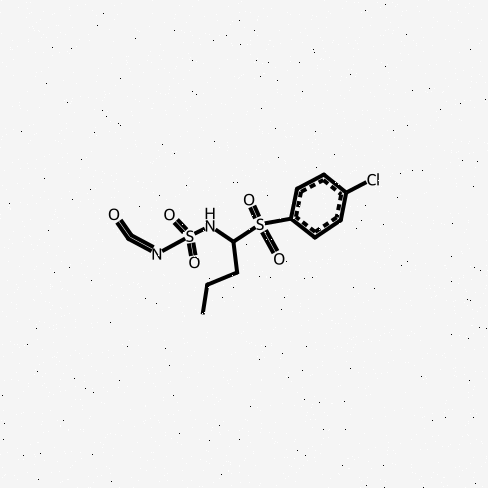 CCCC(NS(=O)(=O)N=C=O)S(=O)(=O)c1ccc(Cl)cc1